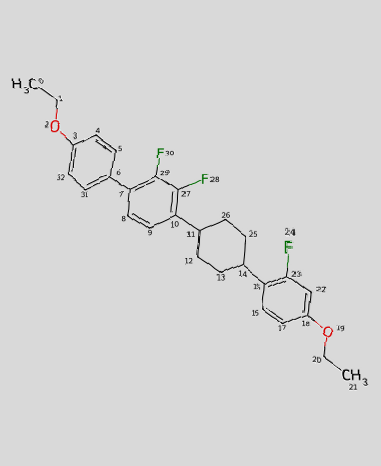 CCOc1ccc(-c2ccc(C3CCC(c4ccc(OCC)cc4F)CC3)c(F)c2F)cc1